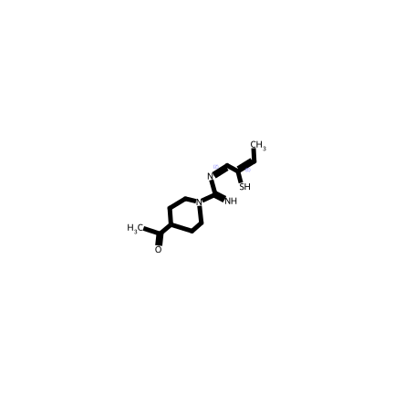 C/C=C(S)\C=N/C(=N)N1CCC(C(C)=O)CC1